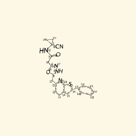 N#CC1(NC(=O)CC2=NNC(Cc3ccc4cc(-c5ccccc5)sc4n3)O2)CC1